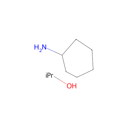 CC(C)O.NC1CCCCC1